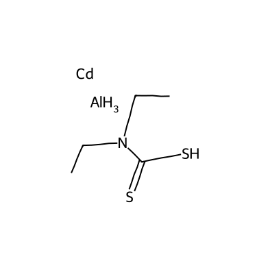 CCN(CC)C(=S)S.[AlH3].[Cd]